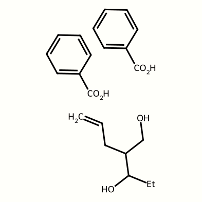 C=CCC(CO)C(O)CC.O=C(O)c1ccccc1.O=C(O)c1ccccc1